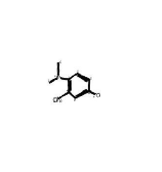 CP(C)c1ccc(Cl)cc1Cl